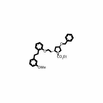 CCOC(=O)N1C[C@H](OCc2ccccc2)C[C@H]1CCOc1ccccc1CCc1cccc(OC)c1